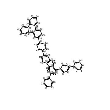 c1ccc(-c2ccc(-c3nc(-c4ccccc4)nc4c3oc3cc(-c5ccc(-c6ccc7c8ccccc8c8ccccc8c7c6)cc5)ccc34)cc2)cc1